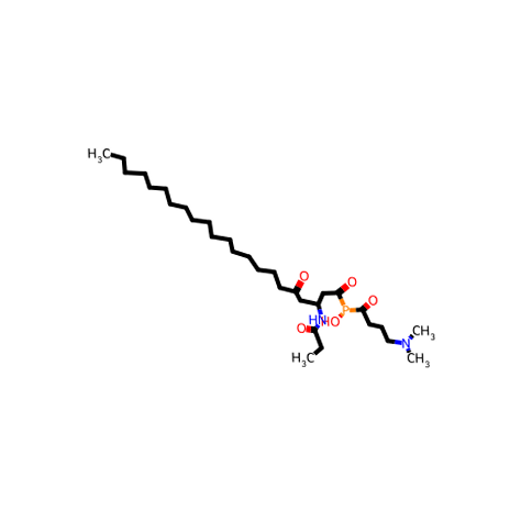 CCCCCCCCCCCCCCCCCC(=O)CC(CC(=O)P(O)C(=O)CCCN(C)C)NC(=O)CC